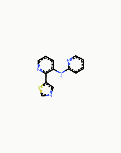 c1ccc(Nc2cccnc2-c2cncs2)nc1